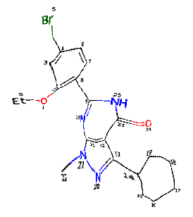 CCOc1cc(Br)ccc1-c1nc2c(c(C3CCCCC3)nn2C)c(=O)[nH]1